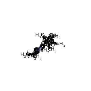 C=C1CC[C@H](OC(=O)[C@H](OC(=O)CCC)[C@@H](OC(=O)CCC)[C@H](OC(=O)CCC)[C@@H](COC(=O)CCC)OC(=O)CCC)C/C1=C/C=C1\CCC[C@]2(C)[C@@H]([C@H](C)CCCC(C)C)CC[C@@H]12